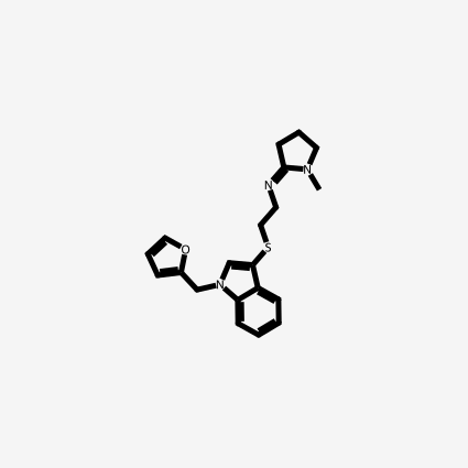 CN1CCCC1=NCCSc1cn(Cc2ccco2)c2ccccc12